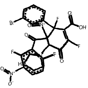 O=C(O)C1=C(F)C(=O)C(N2CCNC2)C(C(=O)c2c(F)ccc([N+](=O)[O-])c2F)([N+](=O)[O-])C1(F)c1cccc(Br)c1